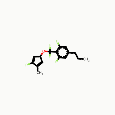 CCCc1cc(F)c(C(F)(F)OC2C=C(C)C(F)=C2)c(F)c1